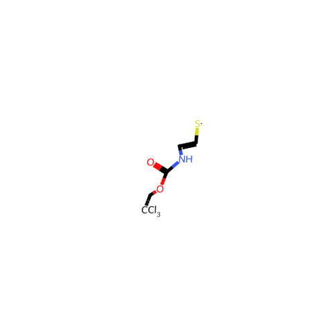 O=C(N/C=C/[S])OCC(Cl)(Cl)Cl